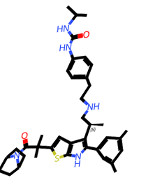 Cc1cc(C)cc(-c2[nH]c3sc(C(C)(C)C(=O)N4C5CCC4CC5)cc3c2[C@H](C)CNCCc2ccc(NC(=O)NC(C)C)cc2)c1